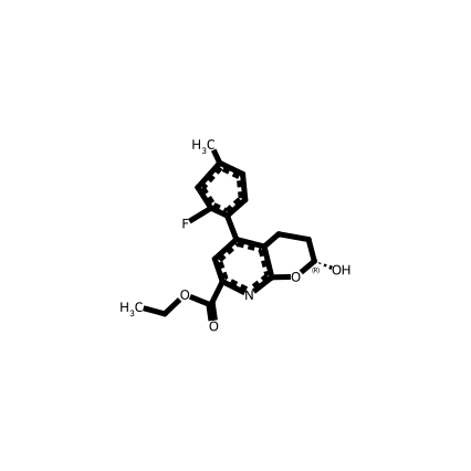 CCOC(=O)c1cc(-c2ccc(C)cc2F)c2c(n1)O[C@@H](O)CC2